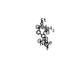 CCC1CC(NC(=O)c2cccc(-c3cc4c(C(=O)NC)c(-c5ccc(F)cc5)oc4cc3CC(N)=O)c2)C1